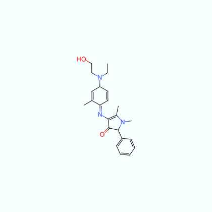 CCN(CCO)C1C=CC(=NC2=C(C)N(C)C(c3ccccc3)C2=O)C(C)=C1